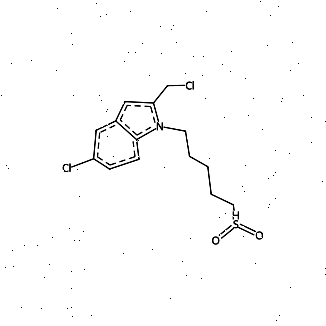 O=[SH](=O)CCCCCn1c(CCl)cc2cc(Cl)ccc21